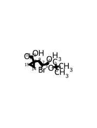 CC(C)(C)OC(=O)C(Br)=CC1(C(=O)O)CC1